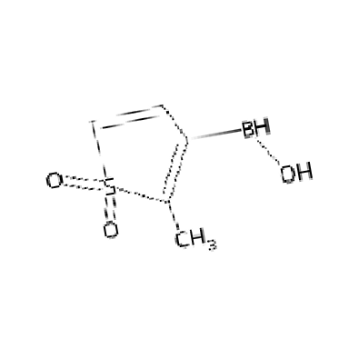 CC1=C(BO)C=CS1(=O)=O